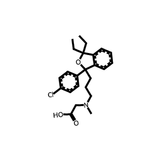 CCC1(CC)OC(CCCN(C)CC(=O)O)(c2ccc(Cl)cc2)c2ccccc21